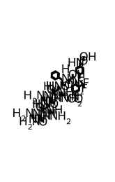 N=C(N)NC(NC(=O)C(NC(=N)N)NC(=O)C(NC(=N)N)NC(=O)C(NC(=N)N)NC(=O)C(NC(=O)C(O)N(Cc1ccc(NOO)cc1)c1ccc([N+](=O)[O-])cc1C(F)(F)F)c1ccccc1)C(N)=O